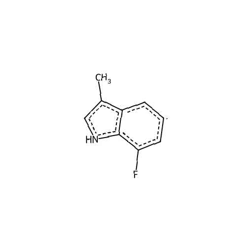 Cc1c[nH]c2c(F)c[c]cc12